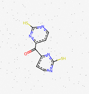 O=C(c1ccnc(S)n1)c1ccnc(S)n1